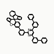 C1=CC2=C(CC1)C1(c3ccccc3Oc3cc(-c4cccc(-c5nc(-c6cccc(-c7ccccc7)c6)cc(-c6cccc(-c7ccccc7)c6)n5)c4)ccc31)c1ccccc12